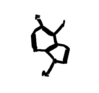 CC(=O)n1ccc2c(I)c(F)cnc21